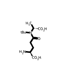 C[C@H](C(=O)O)N(C(=O)CC[C@H](N)C(=O)O)C(C)(C)C